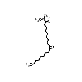 CCCCCCCCC1OC1CCCCCCCC(=O)N(C)C